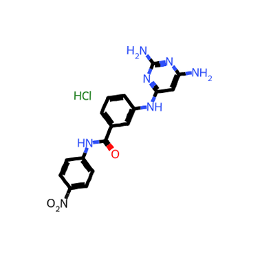 Cl.Nc1cc(Nc2cccc(C(=O)Nc3ccc([N+](=O)[O-])cc3)c2)nc(N)n1